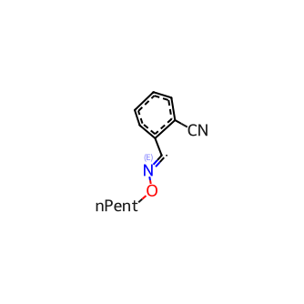 CCCCCO/N=[C]/c1ccccc1C#N